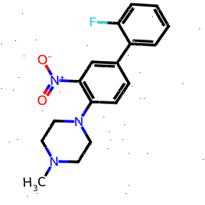 CN1CCN(c2ccc(-c3ccccc3F)cc2[N+](=O)[O-])CC1